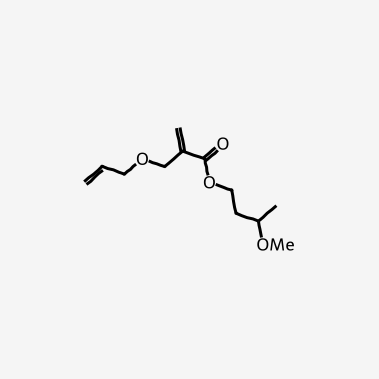 C=CCOCC(=C)C(=O)OCCC(C)OC